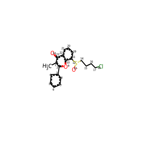 Cc1c(-c2ccccc2)oc2c([S+]([O-])CCCCCl)cccc2c1=O